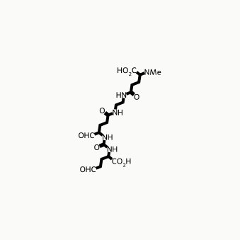 CNC(CCC(=O)NCCNC(=O)CCC(C=O)NC(=O)NC(CCC=O)C(=O)O)C(=O)O